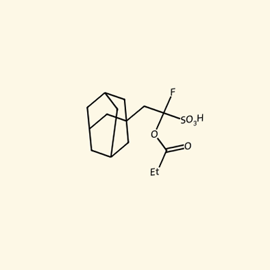 CCC(=O)OC(F)(CC12CC3CC(CC(C3)C1)C2)S(=O)(=O)O